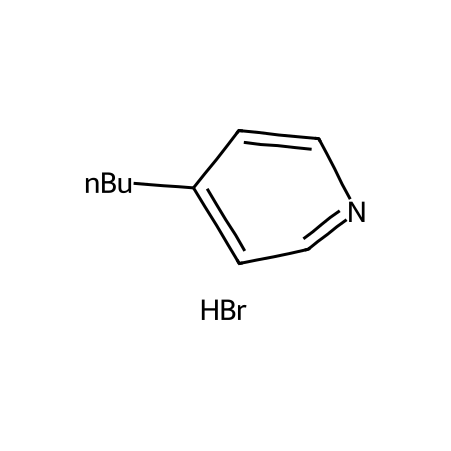 Br.CCCCc1ccncc1